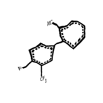 N#Cc1ccc[c]c1-c1ccc(F)c(C(F)(F)F)c1